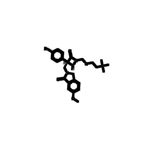 COc1ccc2c(c1)C(=O)N(C[C@@]1(c3ccc(Br)cc3)NN(COCC[Si](C)(C)C)C1=O)C2